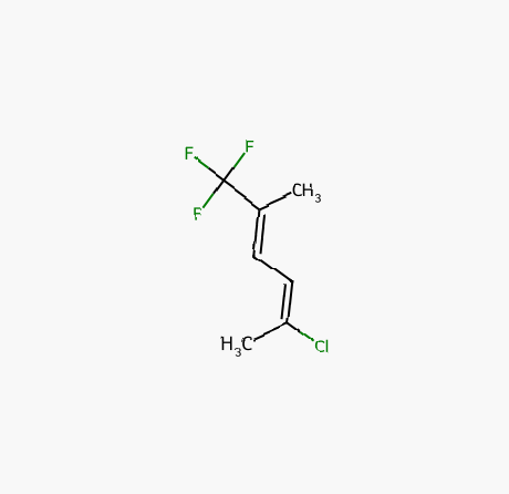 C/C(Cl)=C\C=C(/C)C(F)(F)F